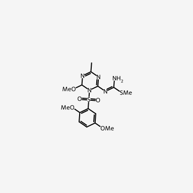 COc1ccc(OC)c(S(=O)(=O)N2C(N=C(N)SC)=NC(C)=NC2OC)c1